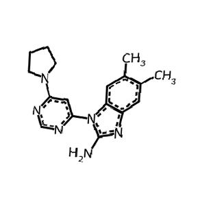 Cc1cc2nc(N)n(-c3cc(N4CCCC4)ncn3)c2cc1C